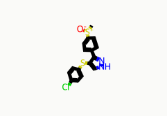 C[S+]([O-])c1ccc(-c2n[nH]cc2Sc2ccc(Cl)cc2)cc1